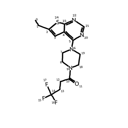 CCc1cc2c(N3CCN(C(=O)CCC(F)(F)F)CC3)ncnc2s1